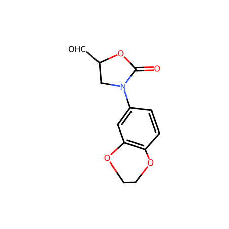 O=CC1CN(c2ccc3c(c2)OCCO3)C(=O)O1